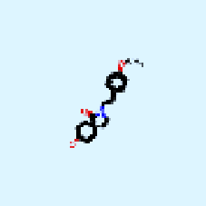 COc1ccc(CCN2CC[C@]3(CC[C@H](O)CC3)C2=O)cc1